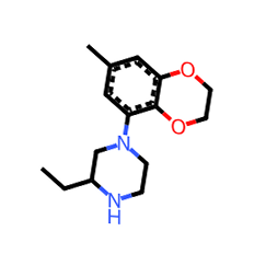 CCC1CN(c2cc(C)cc3c2OCCO3)CCN1